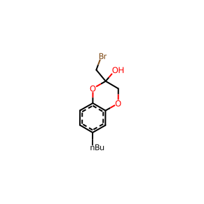 CCCCc1ccc2c(c1)OCC(O)(CBr)O2